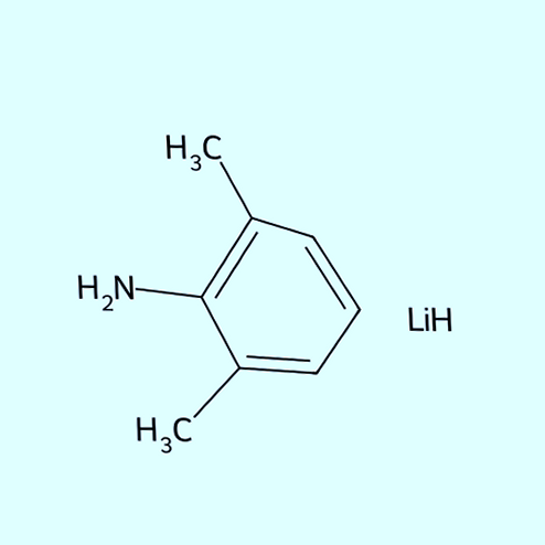 Cc1cccc(C)c1N.[LiH]